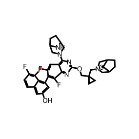 O=C1C2CCC1CN(CC1(COc3nc(N4CC5CCC(C4)N5)c4cc(F)c(-c5cc(O)cc6ccc(F)c(F)c56)c(F)c4n3)CC1)C2